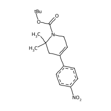 CC(C)(C)OC(=O)N1CC=C(c2ccc([N+](=O)[O-])cc2)CC1(C)C